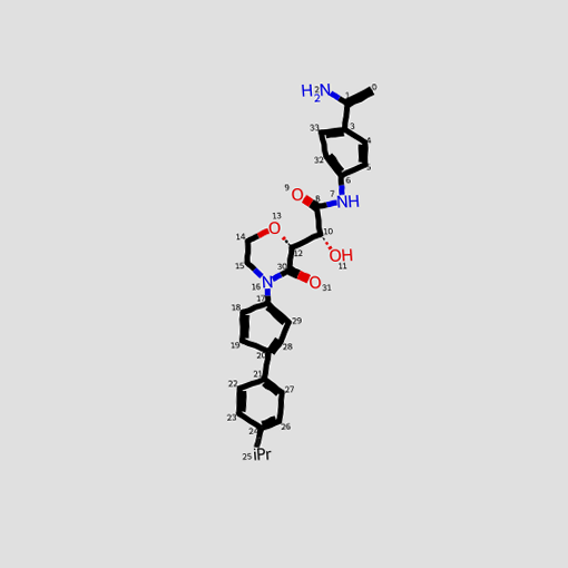 C=C(N)c1ccc(NC(=O)[C@H](O)[C@H]2OCCN(c3ccc(-c4ccc(C(C)C)cc4)cc3)C2=O)cc1